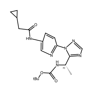 C[C@H](NC(=O)OC(C)(C)C)c1ncnn1-c1ccc(NC(=O)CC2CC2)cn1